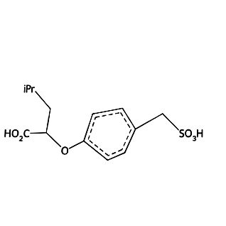 CC(C)CC(Oc1ccc(CS(=O)(=O)O)cc1)C(=O)O